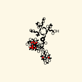 CCC(OC(C)=O)C(OC(C)=O)C(OC(C)=O)C(OC(C)=O)C(=O)NCC(CNC(=O)c1cccc(CN2CCN(C(CCC(=O)O)C(=O)OC(C)(C)C)CCN(C(CCOC=O)C(=O)OC(C)(C)C)CCN(C(CCOC=O)C(C)(C)C)CC2)c1)(CNC(=O)C(C)C(OC(C)=O)C(OC(C)=O)C(COC(C)=O)OC(C)=O)CNC(=O)C(OC(C)=O)C(OC(C)=O)C(OC(C)=O)C(COC(C)=O)OC(C)=O